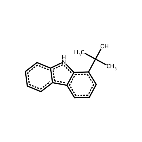 CC(C)(O)c1cccc2c1[nH]c1ccccc12